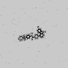 O=S(=O)(c1ccc(NC(=S)N2CCN(c3ncnc4[nH]c5cc(F)ccc5c34)CC2)cc1)N1CCOCC1